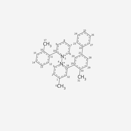 Cc1cc[n+](-[n+]2ccccc2-c2ccccc2C)c(-c2cc(-c3ccccc3)ccc2C)c1